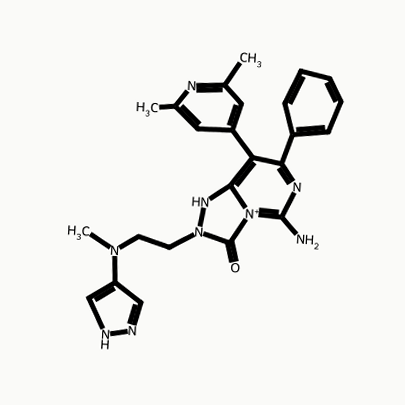 Cc1cc(-c2c(-c3ccccc3)nc(N)[n+]3c(=O)n(CCN(C)c4cn[nH]c4)[nH]c23)cc(C)n1